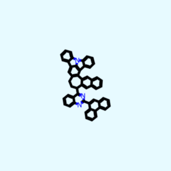 c1ccc2cc3c(cc2c1)-c1c(cc2c4ccccc4n4c5ccccc5c1c24)CCC3c1nc(-c2cc3ccccc3c3ccccc23)nc2ccccc12